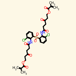 C=C(C)C(=O)OCCC(=O)CCC(=O)Nc1c(Cl)cccc1S(=O)(=O)c1cccc(Cl)c1NC(=O)CCC(=O)CCOC(=O)C(=C)C